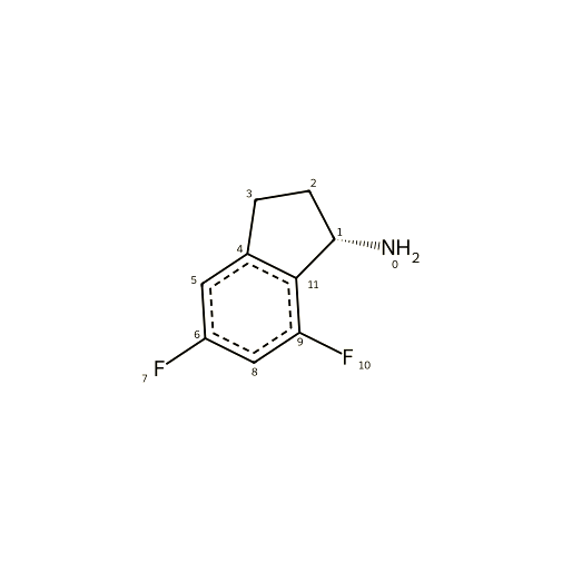 N[C@H]1CCc2cc(F)cc(F)c21